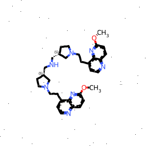 COc1ccc2nccc(CCN3CC[C@@H](CNC[C@@H]4CCN(CCc5ccnc6ccc(OC)nc56)C4)C3)c2n1